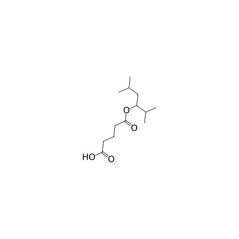 CC(C)CC(OC(=O)CCCC(=O)O)C(C)C